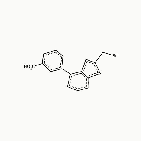 O=C(O)c1cccc(-c2cccc3sc(CBr)cc23)c1